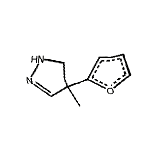 CC1(c2ccco2)C=NNC1